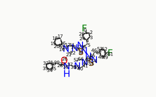 Fc1ccc(Cc2nsc(N3CCN(Cc4ccccc4)CC3)n2)cc1.O=C(CCc1ccccc1)NCCN1CCN(c2nc(Cc3ccc(F)cc3)ns2)CC1